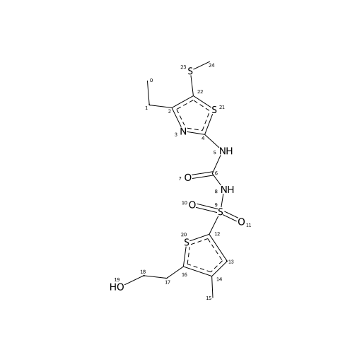 CCc1nc(NC(=O)NS(=O)(=O)c2cc(C)c(CCO)s2)sc1SC